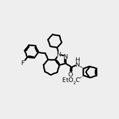 CCOC(=O)[C@H]1C2C=CC(C2)[C@H]1NC(=O)c1nn(C2CCCCC2)c2c1CCCCC2Cc1cccc(F)c1